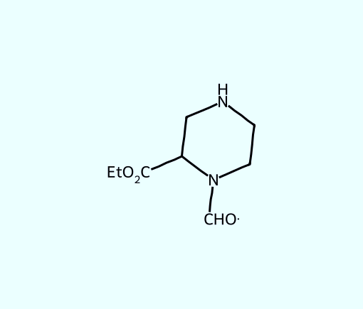 CCOC(=O)C1CNCCN1[C]=O